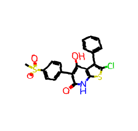 CS(=O)(=O)c1ccc(-c2c(O)c3c(-c4ccccc4)c(Cl)sc3[nH]c2=O)cc1